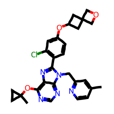 Cc1ccnc(Cn2c(-c3ccc(OC4CC5(COC5)C4)cc3Cl)nc3c(OC4(C)CC4)ncnc32)c1